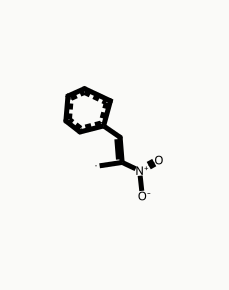 [CH2]/C(=C\c1ccccc1)[N+](=O)[O-]